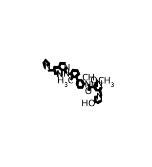 Cc1c(NC(=O)c2cc(CN3CC[C@@H](O)C3)cn(C)c2=O)cccc1-c1cccc(Nc2nccc3cc(CN4CCCC4)cnc23)c1C